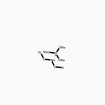 CC[O][AlH][O]CC.CO[SiH](OC)OC